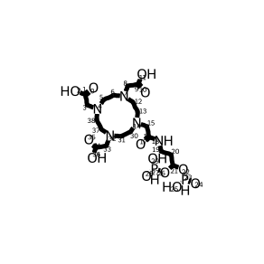 O=C(O)CN1CCN(CC(=O)O)CCN(CC(=O)NCCC(O[PH](=O)O)O[PH](=O)O)CCN(CC(=O)O)CC1